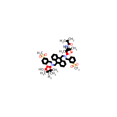 C=C(C)C(=O)NCCCN(Cc1cc(S(=O)(=O)C(F)(F)F)ccc1B1OC(C)(C)C(C)(C)O1)Cc1c2ccccc2c(CN(CCC(=O)O)Cc2cc(S(C)(=O)=O)ccc2B2OC(C)(C)C(C)(C)O2)c2ccccc12